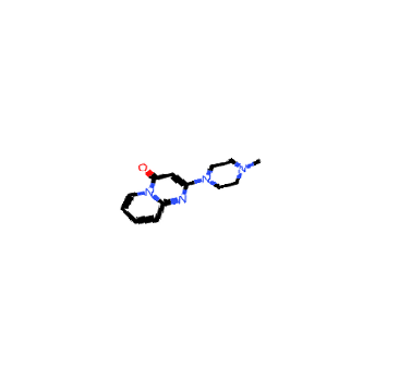 CN1CCN(c2cc(=O)n3ccccc3n2)CC1